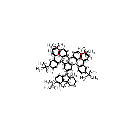 CC(C)(C)c1ccc(N2c3cc(C(C)(C)C)ccc3B3c4ccc(C(C)(C)C)cc4N(c4ccc(C(C)(C)C)cc4-c4ccccc4)c4cc(N5c6ccc([Si](C)(C)C)cc6C6(C)CCCCC56C)cc2c43)c(-c2ccccc2)c1